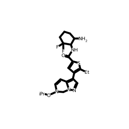 CCc1sc(C(=O)NC2C(N)CCCC2(F)F)cc1-c1cnn2c1C=CN(OC(C)C)C2